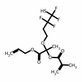 C=CCOC(=O)C(C)(OCCC(F)(F)C(F)(F)S)OC(=O)C(=C)C